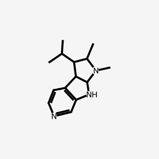 CC(C)C1C2c3ccncc3NC2N(C)C1C